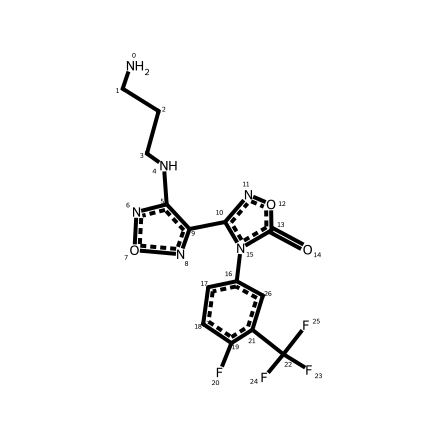 NCCCNc1nonc1-c1noc(=O)n1-c1ccc(F)c(C(F)(F)F)c1